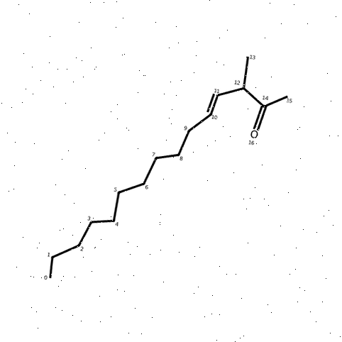 CCCCCCCCCCC=CC(C)C(C)=O